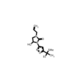 C=CCN1CC(O)N(c2cc(C(C)(CC)SC)on2)C1=O